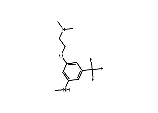 CNc1cc(OCCN(C)C)cc(C(F)(F)F)c1